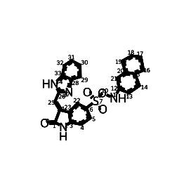 O=C1Nc2ccc(S(=O)(=O)ONc3ccc4ccccc4c3)cc2C1=Cc1nc2ccccc2[nH]1